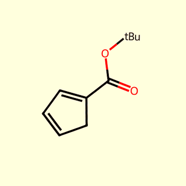 CC(C)(C)OC(=O)C1=CC=CC1